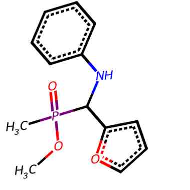 COP(C)(=O)C(Nc1ccccc1)c1ccco1